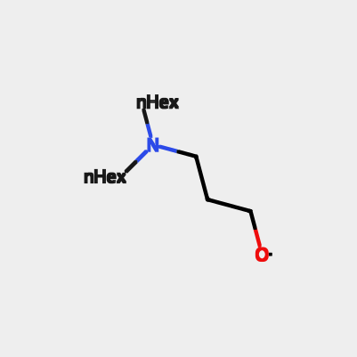 CCCCCCN(CCC[O])CCCCCC